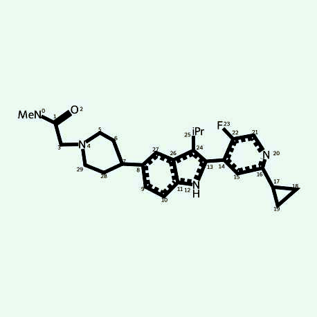 CNC(=O)CN1CCC(c2ccc3[nH]c(-c4cc(C5CC5)ncc4F)c(C(C)C)c3c2)CC1